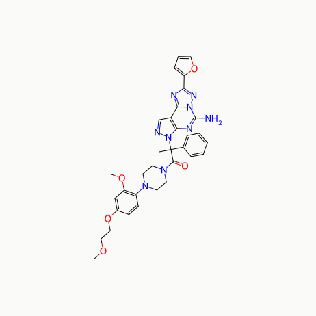 COCCOc1ccc(N2CCN(C(=O)C(C)(c3ccccc3)n3ncc4c3nc(N)n3nc(-c5ccco5)nc43)CC2)c(OC)c1